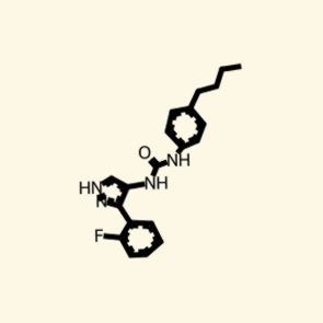 CCCCc1ccc(NC(=O)Nc2c[nH]nc2-c2ccccc2F)cc1